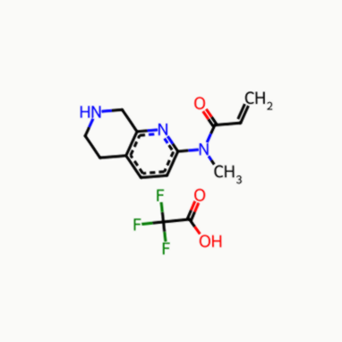 C=CC(=O)N(C)c1ccc2c(n1)CNCC2.O=C(O)C(F)(F)F